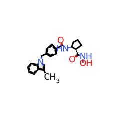 Cc1cn(Cc2ccc(C(=O)N[C@H]3CCC[C@H]3C(=O)NO)cc2)c2ccccc12